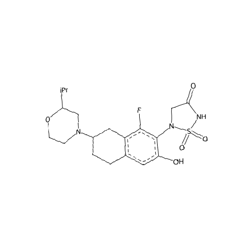 CC(C)C1CN(C2CCc3cc(O)c(N4CC(=O)NS4(=O)=O)c(F)c3C2)CCO1